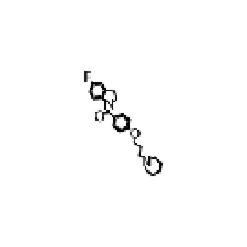 O=C(c1ccc(OCCCN2CCCCC2)cc1)N1CCc2cc(F)ccc21